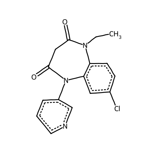 CCN1C(=O)CC(=O)N(c2cccnc2)c2cc(Cl)ccc21